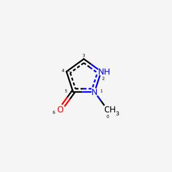 Cn1[nH]c[c]c1=O